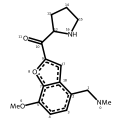 CNCc1ccc(OC)c2oc(C(=O)C3CCCN3)cc12